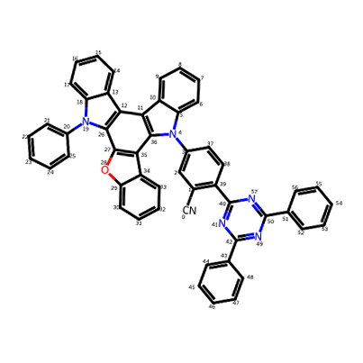 N#Cc1cc(-n2c3ccccc3c3c4c5ccccc5n(-c5ccccc5)c4c4oc5ccccc5c4c32)ccc1-c1nc(-c2ccccc2)nc(-c2ccccc2)n1